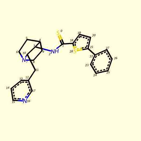 S=C(NC1C2CCN(CC2)C1Cc1cccnc1)c1ccc(-c2ccccc2)s1